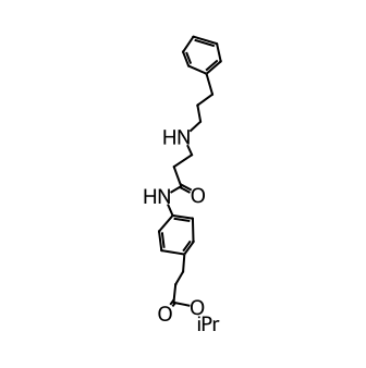 CC(C)OC(=O)CCc1ccc(NC(=O)CCNCCCc2ccccc2)cc1